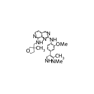 CN/C(C)=C(\C=N)c1ccc(Nc2ncc3ccnc(NCC4(C)CCOC4)c3n2)c(OC)c1